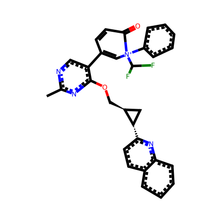 Cc1ncc(C2=C[N+](c3ccccc3)(C(F)F)C(=O)C=C2)c(OC[C@H]2C[C@@H]2c2ccc3ccccc3n2)n1